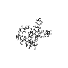 O=C(c1cnn(Cc2ccc(C(F)(F)F)cc2)c1)N1CC(c2nnc(C(C(=O)N3CCC(c4nccs4)CC3)c3ccc(C4CCOCC4)cc3)o2)C2(C1)CN(C(=O)C1(C(F)(F)F)CC1)C2